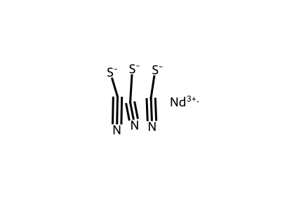 N#C[S-].N#C[S-].N#C[S-].[Nd+3]